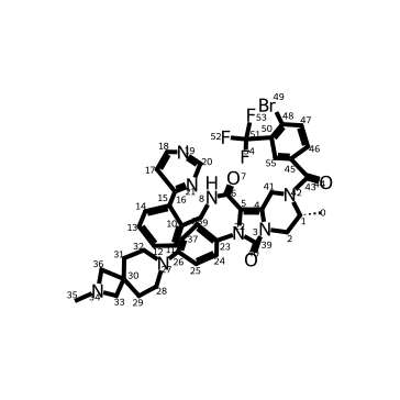 C[C@@H]1Cn2c(c(C(=O)NCc3ccccc3-c3ccncn3)n(-c3ccc(N4CCC5(CC4)CN(C)C5)cc3)c2=O)CN1C(=O)c1ccc(Br)c(C(F)(F)F)c1